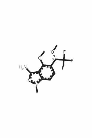 COc1c([C@H](OC)C(F)(F)F)ccc2c1c(N)nn2C